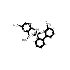 COc1nc(C)cnc1NS(=O)(=O)c1ccccc1-c1cccc(N)c1